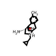 Cc1ccc2c(c1)[C@]13CCN(CC4CC4)[C@H](C2)[C@]1(O)C[C@@H](N)C3